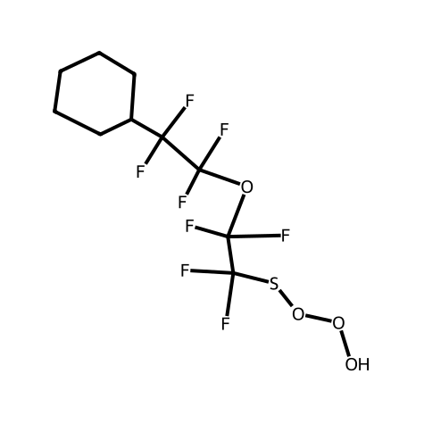 OOOSC(F)(F)C(F)(F)OC(F)(F)C(F)(F)C1CCCCC1